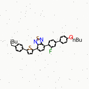 CCCCOc1ccc(-c2ccc(-c3ccc(-c4ccc(-c5ccc(CC(C)CC)cc5)s4)c4nsnc34)c(F)c2)cc1